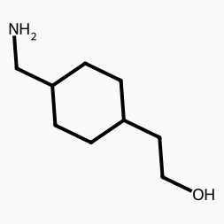 NCC1CCC(CCO)CC1